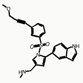 CNCc1cc(-c2ccc3[nH]ccc3c2)n(S(=O)(=O)c2cccc(C#CCOC)c2)c1